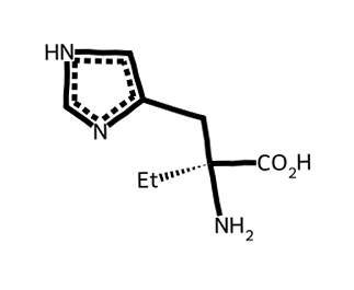 CC[C@](N)(Cc1c[nH]cn1)C(=O)O